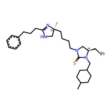 CC(C)C[C@@H]1CN(CCCC[C@@]2(C)CNC(CCCc3ccccc3)=N2)C(=S)N1CC1CCC(C)CC1